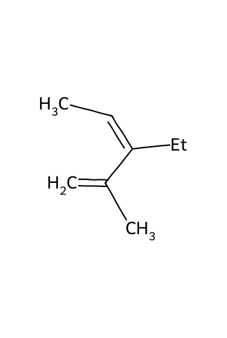 C=C(C)C(=CC)CC